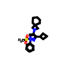 CS(=O)(=O)[N+]1(c2ccccc2)C=C(N2CC3(CCCCC3)C2)C(C2CCC2)=N1